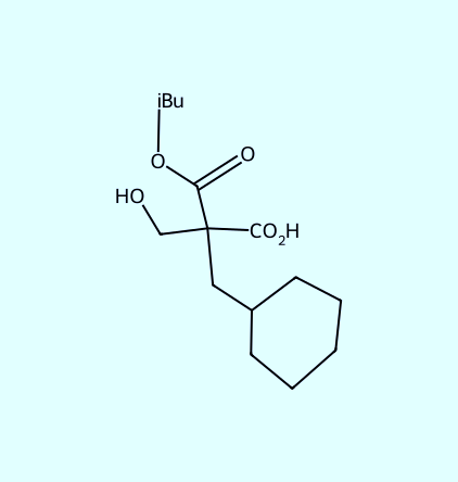 CCC(C)OC(=O)C(CO)(CC1CCCCC1)C(=O)O